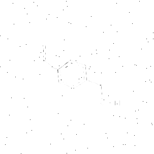 C=C(C)c1ccc(CC(=O)O)cc1